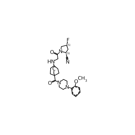 COc1ccccc1N1CCN(C(=O)C23CCC(NCC(=O)N4C[C@@H](F)C[C@H]4C#N)(CC2)CC3)CC1